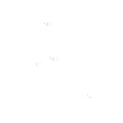 C[C@H](NC(=O)OCCCN)c1cccc(N)c1